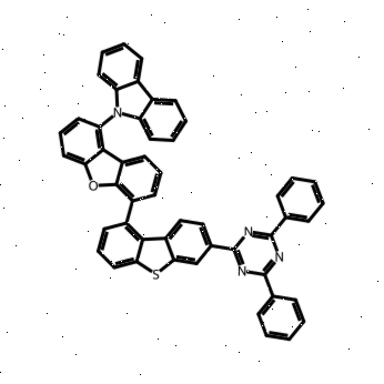 c1ccc(-c2nc(-c3ccccc3)nc(-c3ccc4c(c3)sc3cccc(-c5cccc6c5oc5cccc(-n7c8ccccc8c8ccccc87)c56)c34)n2)cc1